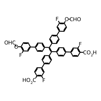 O=COc1ccc(-c2ccc(C(=C(c3ccc(-c4ccc(C(=O)O)c(F)c4)cc3)c3ccc(-c4ccc(C(=O)O)c(F)c4)cc3)c3ccc(-c4ccc(OC=O)c(F)c4)cc3)cc2)cc1F